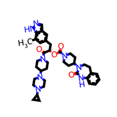 Cc1cc(CC(OC(=O)N2CCC(N3CCc4ccccc4NC3=O)CC2)C(=O)N2CCC(N3CCN(C4CC4)CC3)CC2)cc2cn[nH]c12